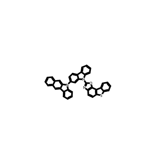 c1ccc2cc3c(cc2c1)c1ccccc1n3-c1ccc2c3ccccc3n(-c3nc4ccc5sc6ccccc6c5c4o3)c2c1